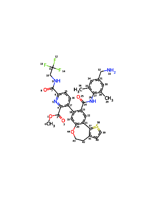 COC(=O)c1nc(C(=O)NCC(F)(F)F)ccc1-c1cc2c(cc1C(=O)Nc1c(C)cc(CN)cc1C)-c1sccc1CCO2